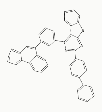 c1ccc(-c2ccc(-c3nc(-c4cccc(-c5cc6ccccc6c6ccccc56)c4)c4c(n3)sc3ccccc34)cc2)cc1